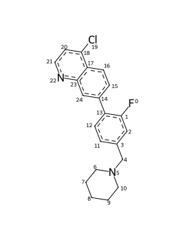 Fc1cc(CN2CCCCC2)ccc1-c1ccc2c(Cl)ccnc2c1